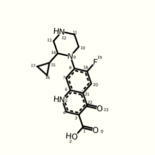 O=C(O)c1c[nH]c2cc(N3CCNCC3C3CC3)c(F)cc2c1=O